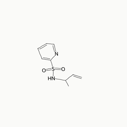 C=CC(C)NS(=O)(=O)c1ccccn1